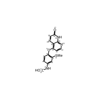 CSc1cc(NC(=O)O)ccc1Oc1ccnc2[nH]c(=O)cnc12